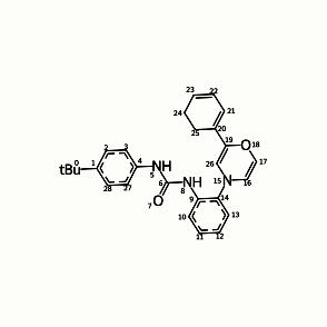 CC(C)(C)c1ccc(NC(=O)Nc2ccccc2N2C=COC(C3=CC=CCC3)=C2)cc1